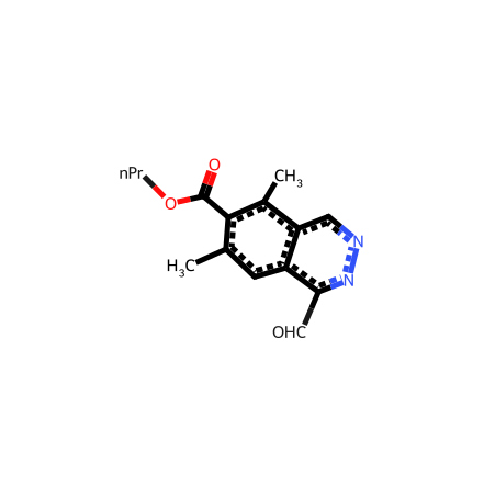 CCCOC(=O)c1c(C)cc2c(C=O)nncc2c1C